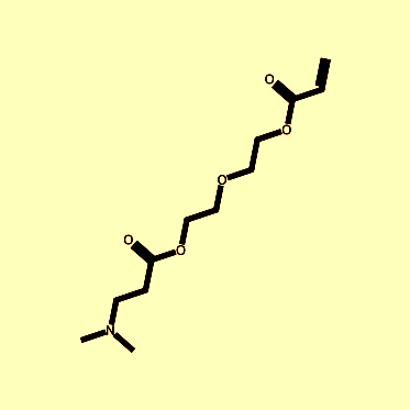 C=CC(=O)OCCOCCOC(=O)CCN(C)C